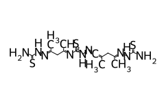 CC(=C=NNC(=S)/N=C(\C)C/C(C)=N/NC(N)=S)C/C(C)=N/NC(N)=S